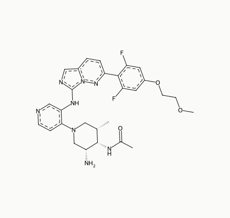 COCCOc1cc(F)c(-c2ccc3cnc(Nc4cnccc4N4C[C@@H](N)[C@@H](NC(C)=O)[C@@H](C)C4)n3n2)c(F)c1